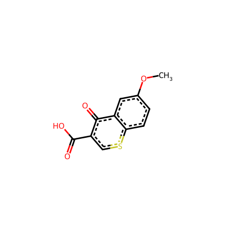 COc1ccc2scc(C(=O)O)c(=O)c2c1